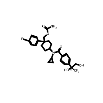 NC(=O)OCC1(c2ccc(F)cc2)CCC(N(C(=O)c2ccc([C@@](O)(CO)C(F)(F)F)cc2)C2CC2)CC1